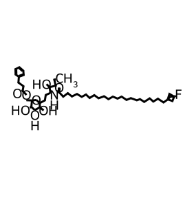 CCCC(O)C(CCC1OC(COC(=O)CCc2ccccc2)C(O)C(O)C1O)NC(=O)CCCCCCCCCCCCCCCCCCCCCCCC12CC(F)(C1)C2